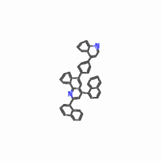 c1ccc2c(-c3cc(-c4cccc5ccccc45)c4cc(-c5ccc(-c6ccnc7ccccc67)cc5)c5ccccc5c4n3)cccc2c1